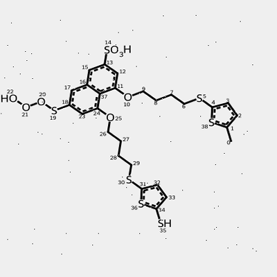 Cc1ccc(SCCCCOc2cc(S(=O)(=O)O)cc3cc(SOOO)cc(OCCCCSc4ccc(S)s4)c23)s1